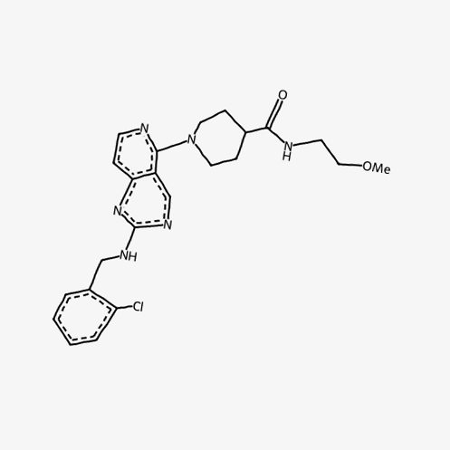 COCCNC(=O)C1CCN(c2nccc3nc(NCc4ccccc4Cl)ncc23)CC1